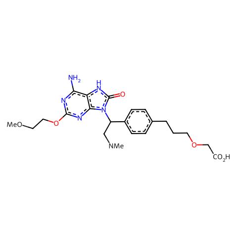 CNCC(c1ccc(CCCOCC(=O)O)cc1)n1c(=O)[nH]c2c(N)nc(OCCOC)nc21